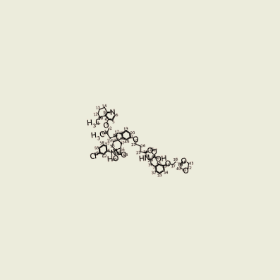 C[C@@H](COc1ccnc2c1[C@H](C)CCC2)C[C@H]1Cc2ccc(OCCCC(=O)N[C@H](Cc3cccc(OCC[C@H]4COCCO4)c3)C(=O)O)cc2C12CCC(Nc1cccc(Cl)c1)(C(=O)O)CC2